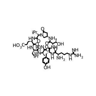 CC(C)C[C@@H](NC(=O)[C@@H](CCC(=O)O)NC(=O)[C@@H](C(C)C)N1C[C@@H](NC(=O)[C@H](NC(=O)[C@@H](Cc2ccc(O)cc2)NC(=O)[C@H](N)CCCNC(=N)N)[C@@H](C)O)CC1=O)C(=O)N[C@H](C)C(N)=O